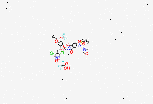 CS(=O)(=O)N(CCN1CCOCC1)c1ccc2c(c1)C(=O)N(CC(=O)O[C@@H](Cc1c(Cl)c[n+]([O-])cc1Cl)c1ccc(OC(F)F)c(OCC3CC3)c1)C2=O.O=C(O)C(F)(F)F